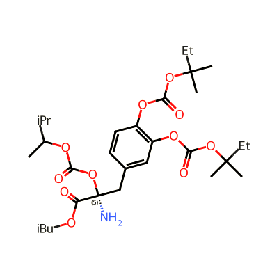 CCC(C)OC(=O)[C@](N)(Cc1ccc(OC(=O)OC(C)(C)CC)c(OC(=O)OC(C)(C)CC)c1)OC(=O)OC(C)C(C)C